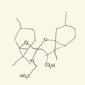 CC1CCC2C(C)(C)C2(OC(CC(=O)O)(OCC(=O)O)OC23CC(C)CCC2C3(C)C)C1